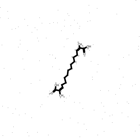 CC(=CCCCCCCCCCCC=C(C)C(=O)O)C(=O)O